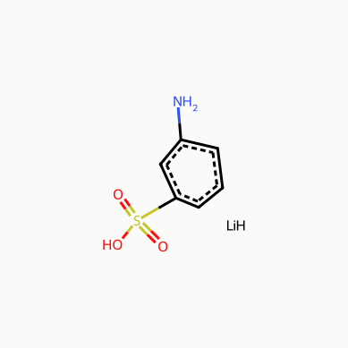 Nc1cccc(S(=O)(=O)O)c1.[LiH]